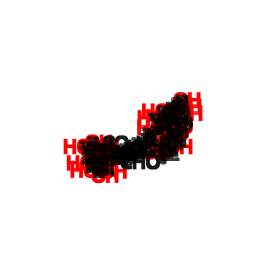 CC1OC(OC(=O)[C@]23CCC(C)(C)CC2C2=CCC4[C@@]5(C)CC[C@H](OC6OC(C(=O)O)C(O)C(OC7OCC(O)C(O)C7O)C6OC6OC(CO)C(O)C(O)C6O)[C@@](C)(C=O)C5CC[C@@]4(C)[C@]2(C)C[C@H]3O)C(OC2OC(C)C(OC3OCCC(OC4OCC(O)(CO)C4O)C3O)C(OC3OC(CO)C(O)C(O)C3O)C2O)C(O)C1C